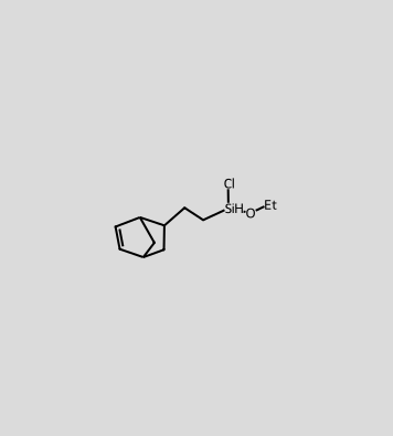 CCO[SiH](Cl)CCC1CC2C=CC1C2